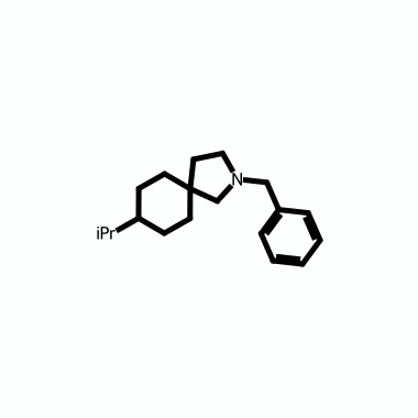 CC(C)C1CCC2(CC1)CCN(Cc1ccccc1)C2